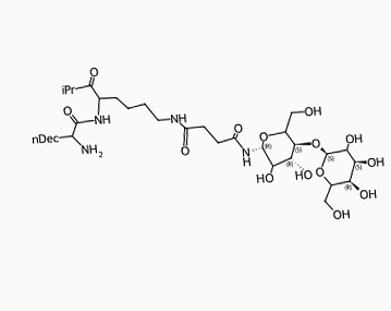 CCCCCCCCCCC(N)C(=O)NC(CCCCNC(=O)CCC(=O)N[C@@H]1OC(CO)[C@@H](O[C@@H]2OC(CO)[C@H](O)[C@H](O)C2O)[C@H](O)C1O)C(=O)C(C)C